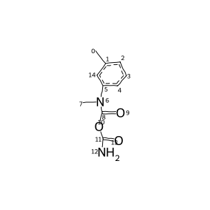 Cc1cccc(N(C)C(=O)OC(N)=O)c1